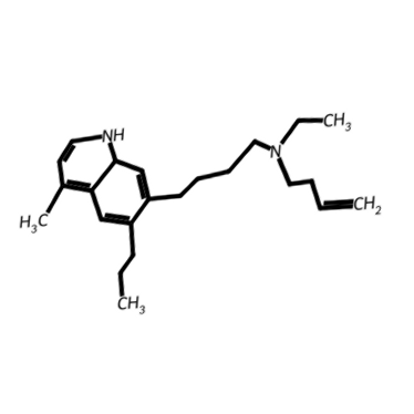 C=CCCN(CC)CCCCC1=CC2NC=CC(C)=C2C=C1CCC